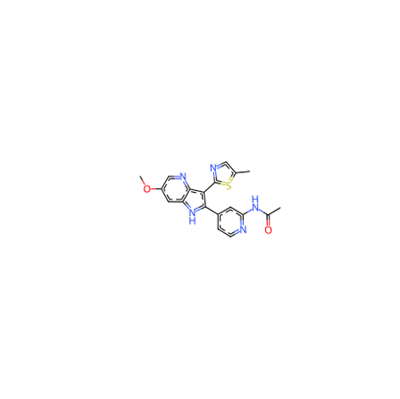 COc1cnc2c(-c3ncc(C)s3)c(-c3ccnc(NC(C)=O)c3)[nH]c2c1